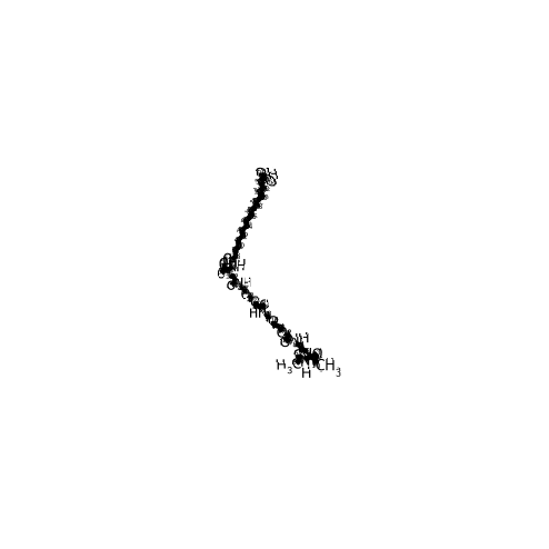 CCC(=O)[C@H](CCCCNC(=O)COCCOCCNC(=O)COCCOCCNC(=O)CC[C@@H](NC(=O)CCCCCCCCCCCCCCCCC(=O)O)C(=O)O)NC(C)C